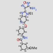 CCn1c(-c2nonc2N)nc2cnc(Oc3cccc(NC(=O)c4cccc(OC)c4)c3)cc21